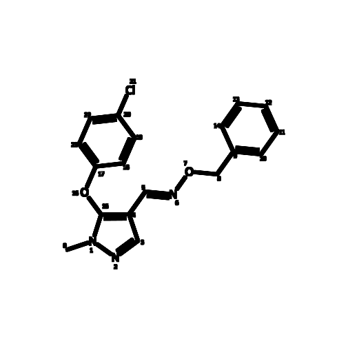 Cn1ncc(C=NOCc2ccccc2)c1Oc1ccc(Cl)cc1